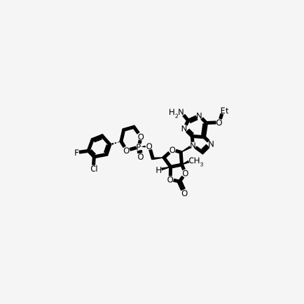 CCOc1nc(N)nc2c1ncn2[C@@H]1O[C@H](CO[P@@]2(=O)OCC[C@@H](c3ccc(F)c(Cl)c3)O2)[C@H]2OC(=O)O[C@]21C